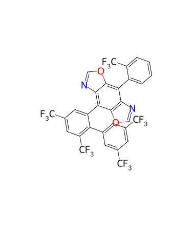 FC(F)(F)c1cc(-c2c(-c3c4ncoc4c(-c4ccccc4C(F)(F)F)c4ncoc34)cc(C(F)(F)F)cc2C(F)(F)F)cc(C(F)(F)F)c1